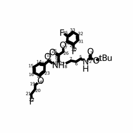 CC(C)(C)OC(=O)NCCCC[C@H](NC(=O)c1cccc(OCCCF)c1)C(=O)COc1c(F)cccc1F